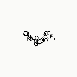 O=C(OC(C(F)(F)F)C(F)(F)F)N1CCC2(CCCN2C(=O)c2cnn(-c3ccccc3)c2)CC1